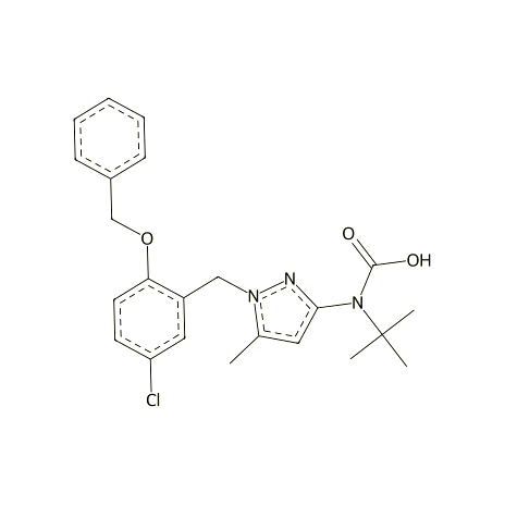 Cc1cc(N(C(=O)O)C(C)(C)C)nn1Cc1cc(Cl)ccc1OCc1ccccc1